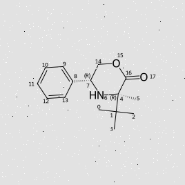 CC(C)(C)[C@@]1(C)N[C@H](c2ccccc2)COC1=O